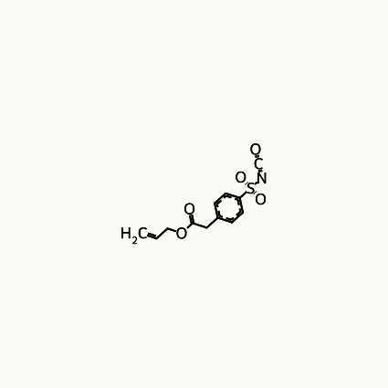 C=CCOC(=O)Cc1ccc(S(=O)(=O)N=C=O)cc1